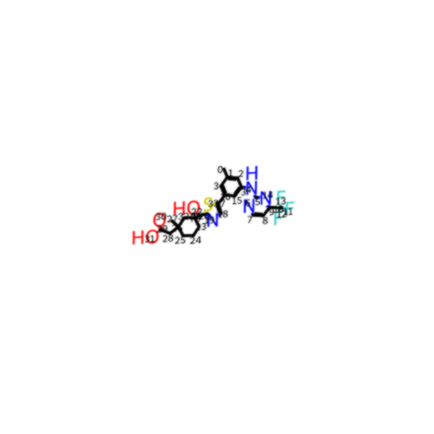 Cc1cc(Nc2nccc(C(F)(F)F)n2)cc(-c2cnc([C@@]3(O)CCCC(C)(CC(=O)O)C3)s2)c1